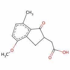 COc1ccc(C)c2c1CC(CC(=O)O)C2=O